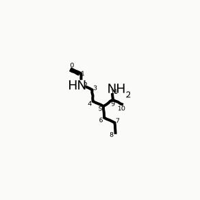 C=CNCCC(CCC)C(C)N